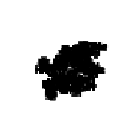 CCCC[C@@H](C(=O)N(C)[C@@H](CCCC)C(=O)N[C@@H](CC(C)C)C(=O)NCCSCC(N)CC)N(C)C(=O)[C@H](Cc1cn(CC(=O)O)c2ccccc12)NC(=O)CNC(=O)[C@H](Cc1c[nH]c2ccccc12)NC(=O)C1CCCN1C(=O)[C@H](CC(C)C)NC(=O)[C@H](CNCc1ccc(OC)c(B(O)O)c1)NC(=O)C1CCCN1C(=O)[C@H](CC(N)=O)NC(=O)[C@H](C)N(C)C(=O)CCc1ccc(O)cc1